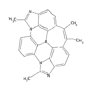 CC1=C(C)c2ccc3nc(C)n4c3c2B2c3c(cccc3-4)-n3c(C)nc4ccc1c2c43